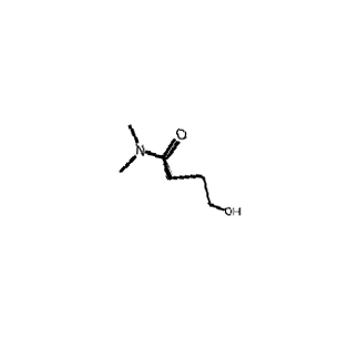 CN(C)C(=O)CCCO